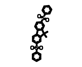 CC1(C)c2cc(S(=O)(=O)c3ccccc3)ccc2-c2ccc(S(=O)(=O)c3ccccc3)cc21